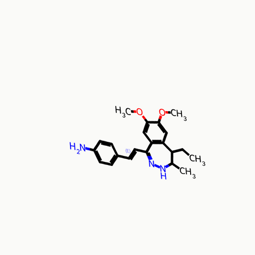 CCC1c2cc(OC)c(OC)cc2C(/C=C/c2ccc(N)cc2)=NNC1C